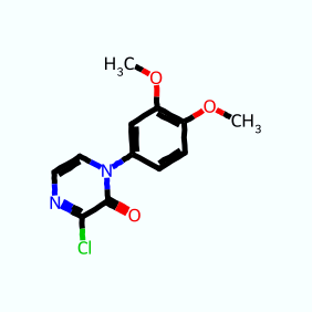 COc1ccc(-n2ccnc(Cl)c2=O)cc1OC